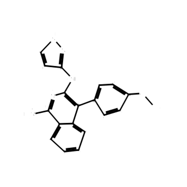 CCCCOc1ccc(-c2c(Nc3cc[nH]n3)nc(N)c3ccccc23)cc1